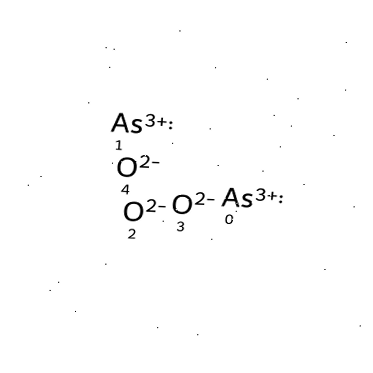 [As+3].[As+3].[O-2].[O-2].[O-2]